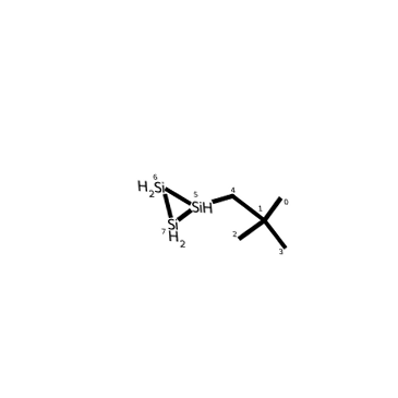 CC(C)(C)C[SiH]1[SiH2][SiH2]1